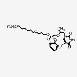 CCCCCCCCCCCCCCCCOCCCOP(=O)(COC(C)Cn1cc(C)c(=O)[nH]c1=O)Oc1ccccc1